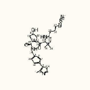 Cc1ncsc1-c1ccc(CNC(=O)[C@@H]2C[C@@H](O)CN2C(=O)[C@@H](NCCCCN=[N+]=[N-])C(C)(C)C)cc1